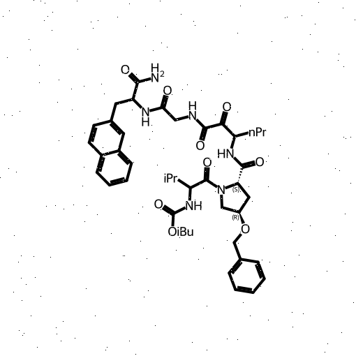 CCCC(NC(=O)[C@@H]1C[C@@H](OCc2ccccc2)CN1C(=O)C(NC(=O)OCC(C)C)C(C)C)C(=O)C(=O)NCC(=O)NC(Cc1ccc2ccccc2c1)C(N)=O